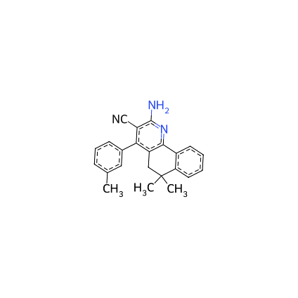 Cc1cccc(-c2c(C#N)c(N)nc3c2CC(C)(C)c2ccccc2-3)c1